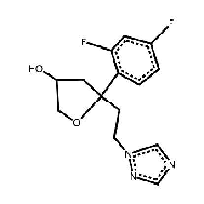 OC1COC(CCn2cncn2)(c2ccc(F)cc2F)C1